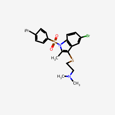 Cc1c(SCCN(C)C)c2cc(Br)ccc2n1S(=O)(=O)c1ccc(C(C)C)cc1